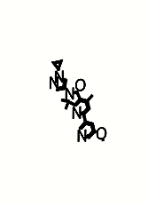 COc1cncc(-c2cc(C)c3c(n2)C(C)(C)N(c2cnn(C4CC4)c2)C3=O)c1